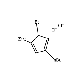 CCCCC1=CC(CC)[C]([Zr+2])=C1.[Cl-].[Cl-]